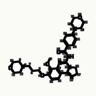 COc1c(OCCCN2CCOCC2)ccc2c1N=C(NC(=O)c1ccc(N3CCOCC3)cc1)N1CCN=C21